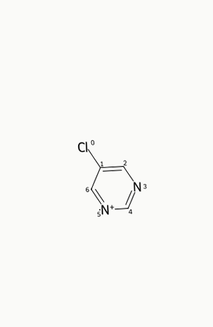 ClC1=CN=C[N+]=C1